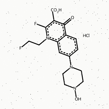 Cl.O=C(O)c1c(F)n(CCF)c2cc(N3CCN(O)CC3)ccc2c1=O